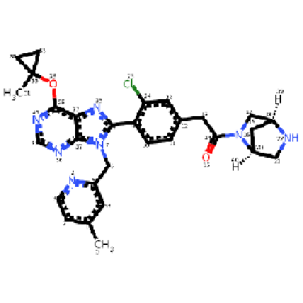 Cc1ccnc(Cn2c(-c3ccc(CC(=O)N4C[C@@H]5C[C@H]4CN5)cc3Cl)nc3c(OC4(C)CC4)ncnc32)c1